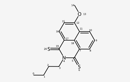 CCCCN1C(=S)c2cccc3c(OC)ccc(c23)C1=S